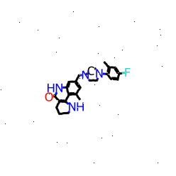 Cc1cc(F)ccc1N1CCN(Cc2cc(C)c3c4c(c(=O)[nH]c3c2)CCCN4)CC1